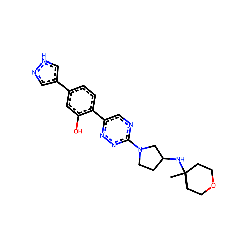 CC1(NC2CCN(c3ncc(-c4ccc(-c5cn[nH]c5)cc4O)nn3)C2)CCOCC1